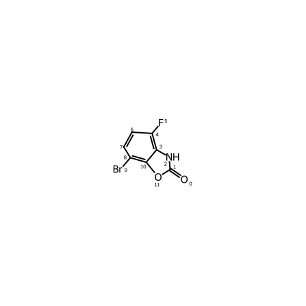 O=c1[nH]c2c(F)ccc(Br)c2o1